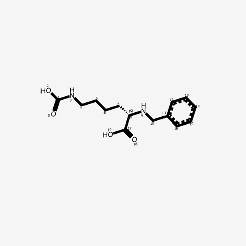 O=C(O)NCCCC[C@H](NCc1ccccc1)C(=O)O